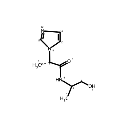 CC(CO)NC(=O)[C@H](C)n1ccnc1